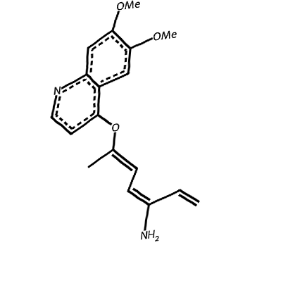 C=C/C(N)=C\C=C(/C)Oc1ccnc2cc(OC)c(OC)cc12